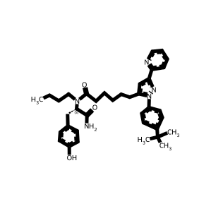 CCCCN(C(=O)CCCCCc1cc(-c2ccccn2)nn1-c1ccc(C(C)(C)C)cc1)[C@@H](Cc1ccc(O)cc1)C(N)=O